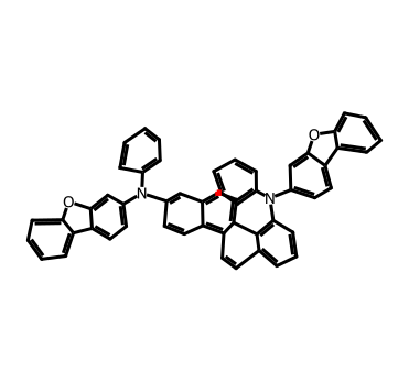 c1ccc(N(c2ccc3c(ccc4c3ccc3cccc(N(c5ccccc5)c5ccc6c(c5)oc5ccccc56)c34)c2)c2ccc3c(c2)oc2ccccc23)cc1